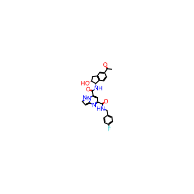 CC(=O)c1ccc2c(c1)C[C@@H](O)[C@@H]2NC(=O)c1cc(C(=O)NCc2ccc(F)cc2)nc2ccnn12